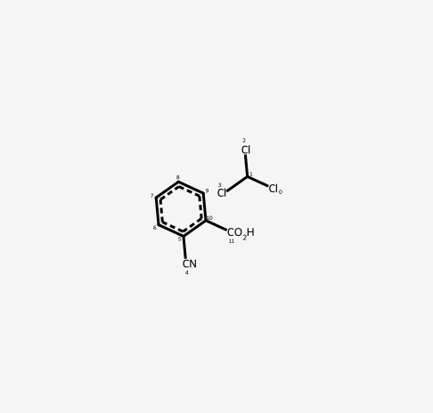 ClC(Cl)Cl.N#Cc1ccccc1C(=O)O